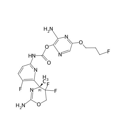 C[C@]1(c2nc(NC(=O)Oc3ncc(OCCCF)nc3N)ccc2F)N=C(N)OCC1(F)F